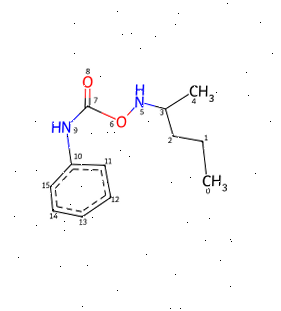 CCCC(C)NOC(=O)Nc1ccccc1